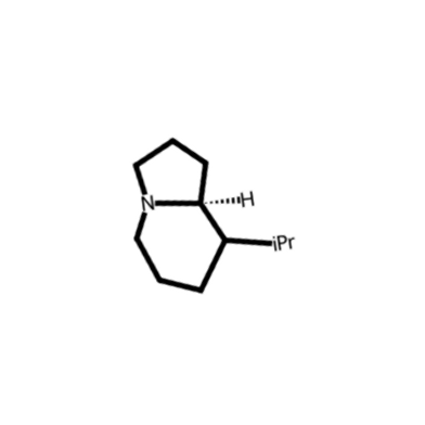 CC(C)C1CCCN2CCC[C@@H]12